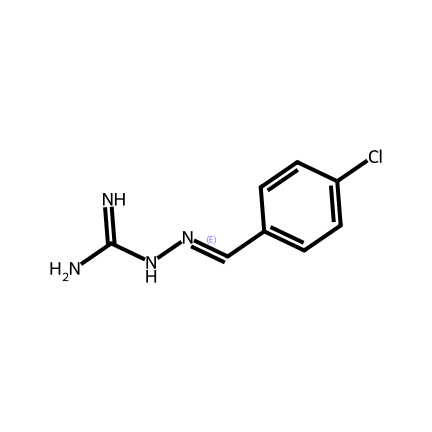 N=C(N)N/N=C/c1ccc(Cl)cc1